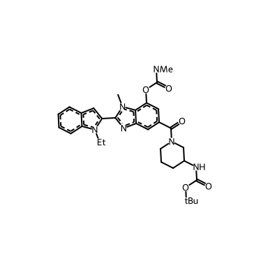 CCn1c(-c2nc3cc(C(=O)N4CCCC(NC(=O)OC(C)(C)C)C4)cc(OC(=O)NC)c3n2C)cc2ccccc21